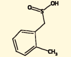 Cc1ccccc1CS(=O)O